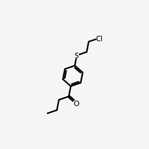 CCCC(=O)c1ccc(SCCCl)cc1